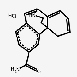 Cl.NC(=O)c1ccc2c(c1)C13CC=CC=C1C(=C2)NCC3